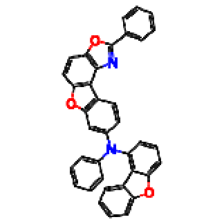 c1ccc(-c2nc3c(ccc4oc5cc(N(c6ccccc6)c6cccc7oc8ccccc8c67)ccc5c43)o2)cc1